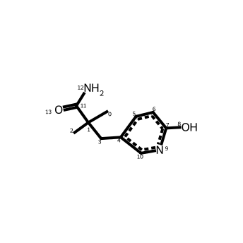 CC(C)(Cc1ccc(O)nc1)C(N)=O